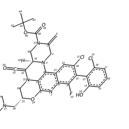 C=C1CN2c3c4c(nc5c(F)c(-c6c(O)cccc6Cl)c(Cl)cc35)O[C@H](CN(C)C)CN4C(=C=O)[C@H]2CN1C(=O)OC(C)(C)C